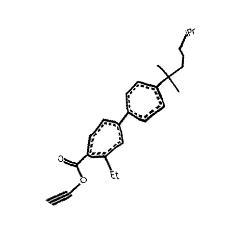 C#COC(=O)c1ccc(-c2ccc(C(C)(C)CCC(C)C)cc2)cc1CC